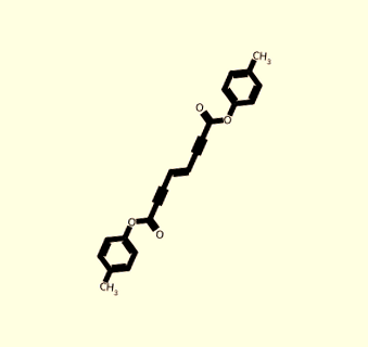 Cc1ccc(OC(=O)C#C/C=C/C#CC(=O)Oc2ccc(C)cc2)cc1